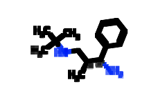 C[C@@H](CNC(C)(C)C)[C@@H](N)c1ccccc1